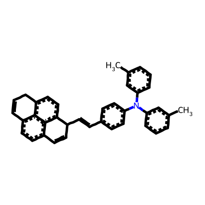 Cc1cccc(N(c2ccc(C=CC3C=Cc4ccc5c6c(ccc3c46)CC=C5)cc2)c2cccc(C)c2)c1